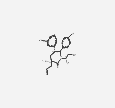 C=CC[C@@]1(N)C[C@H](c2cccc(Cl)c2)C(c2ccc(Cl)cc2)N([C@H](CO)C(C)C)C1=O